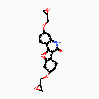 O=c1[nH]c2cc(OCC3CO3)ccc2c2oc3cc(OCC4CO4)ccc3c12